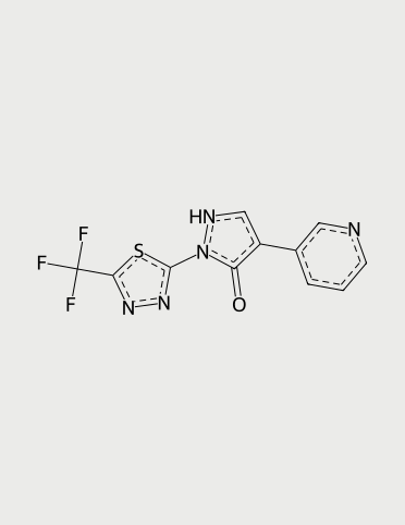 O=c1c(-c2cccnc2)c[nH]n1-c1nnc(C(F)(F)F)s1